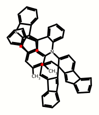 Cc1cc2c(c(N(C3=CC=C4C(=Cc5ccccc54)C34C=CC=C3C4=Cc4ccccc43)c3ccccc3-c3cccc4sc5ccccc5c34)c1C)Cc1ccccc1-2